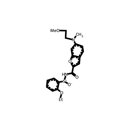 CCOc1ccccc1[S+]([O-])NC(=O)c1cc2ccc(N(C)CCOC)cc2o1